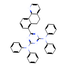 c1ccc(N(c2ccccc2)c2nc(-c3cccc4c3CCc3cccnc3-4)nc(N(c3ccccc3)c3ccccc3)n2)cc1